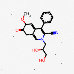 COC1C=C2C(=CN(CC(O)CO)C(C#N)=C2c2ccccc2)CC1=O